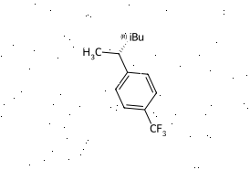 CC[C@@H](C)C(C)c1ccc(C(F)(F)F)cc1